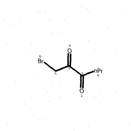 CCCC(=O)C(=O)CBr